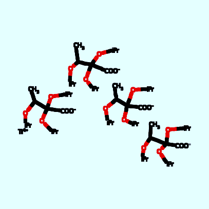 CC(C)OC(C)C(OC(C)C)(OC(C)C)C(=O)[O-].CC(C)OC(C)C(OC(C)C)(OC(C)C)C(=O)[O-].CC(C)OC(C)C(OC(C)C)(OC(C)C)C(=O)[O-].CC(C)OC(C)C(OC(C)C)(OC(C)C)C(=O)[O-].[Ti+4]